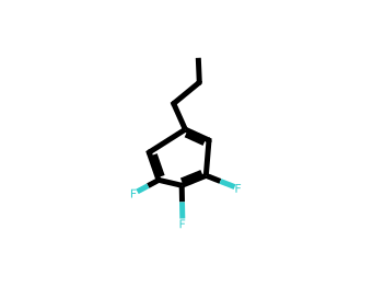 CCCc1cc(F)c(F)c(F)c1